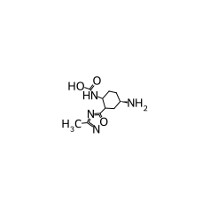 Cc1noc(C2C[C@H](N)CCC2NC(=O)O)n1